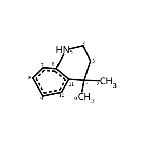 CC1(C)C[C]Nc2ccccc21